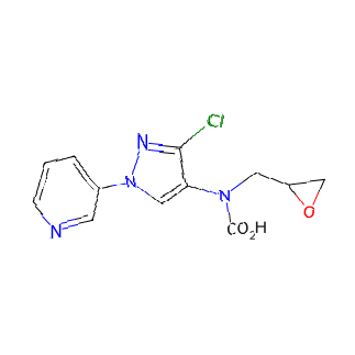 O=C(O)N(CC1CO1)c1cn(-c2cccnc2)nc1Cl